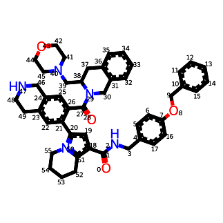 O=C(NCc1ccc(OCc2ccccc2)cc1)c1cc(-c2cc3c(cc2C(=O)N2Cc4ccccc4CC2CN2CCOCC2)CNCC3)n2c1CCCC2